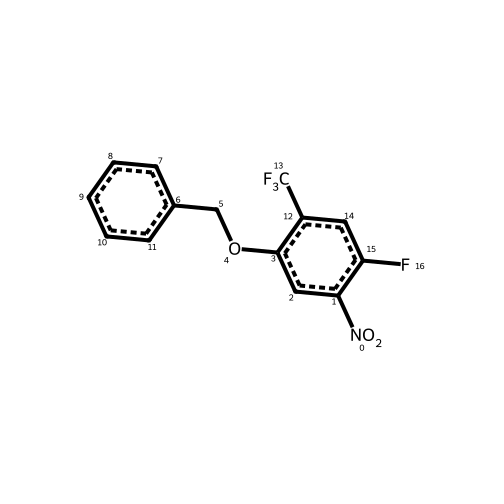 O=[N+]([O-])c1cc(OCc2ccccc2)c(C(F)(F)F)cc1F